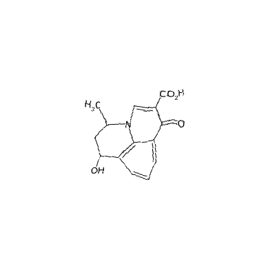 CC1CC(O)c2cccc3c(=O)c(C(=O)O)cn1c23